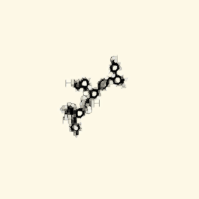 CN1CCN(Nc2ccc(S(=O)(=O)NC(=O)c3ccc(N4CCN(CC5=C(c6ccc(Cl)cc6)CC(C)(C)CC5)CC4)cc3Oc3cccc4[nH]ccc34)cc2S(=O)(=O)C(F)(F)F)CC1